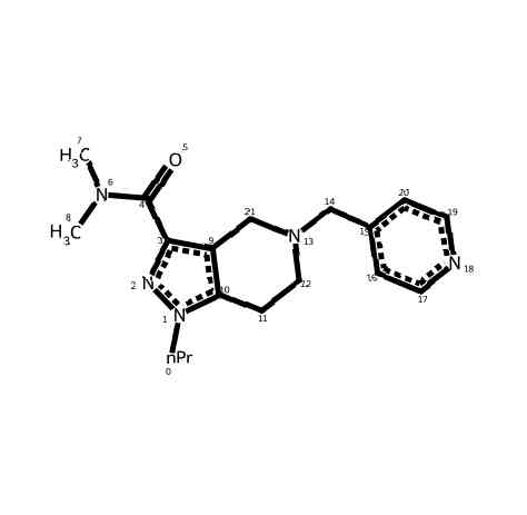 CCCn1nc(C(=O)N(C)C)c2c1CCN(Cc1ccncc1)C2